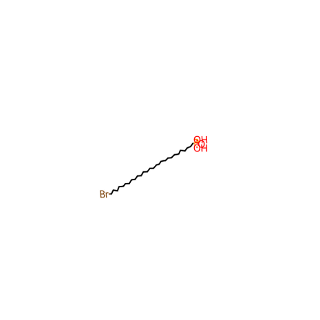 O=P(O)(O)CCCCCCCCCCCCCCCCCCCCCCCCCCCCBr